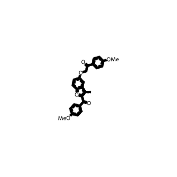 COc1ccc(C(=O)COc2ccc3oc(C(=O)c4ccc(OC)cc4)c(C)c3c2)cc1